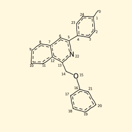 Cc1ccc(-c2cc3ccccc3c(COc3ccccc3)n2)cc1